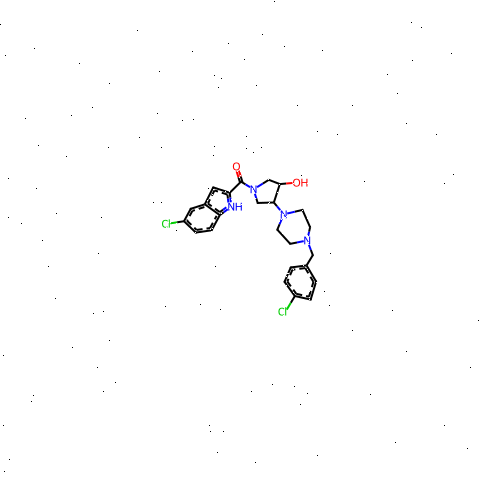 O=C(c1cc2cc(Cl)ccc2[nH]1)N1CC(O)C(N2CCN(Cc3ccc(Cl)cc3)CC2)C1